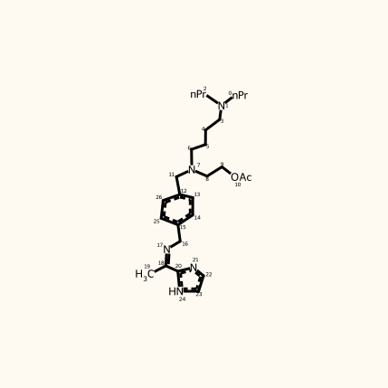 CCCN(CCC)CCCCN(CCOC(C)=O)Cc1ccc(CN=C(C)c2ncc[nH]2)cc1